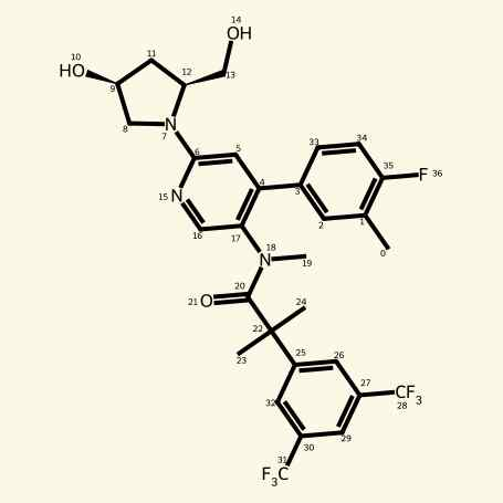 Cc1cc(-c2cc(N3C[C@@H](O)C[C@H]3CO)ncc2N(C)C(=O)C(C)(C)c2cc(C(F)(F)F)cc(C(F)(F)F)c2)ccc1F